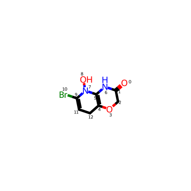 O=C1COC2=C(N1)N(O)C(Br)=CC2